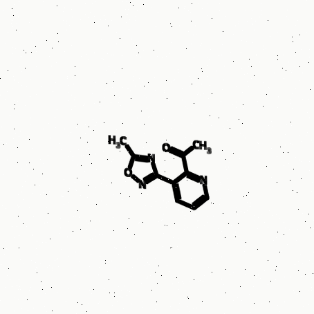 CC(=O)c1ncccc1-c1noc(C)n1